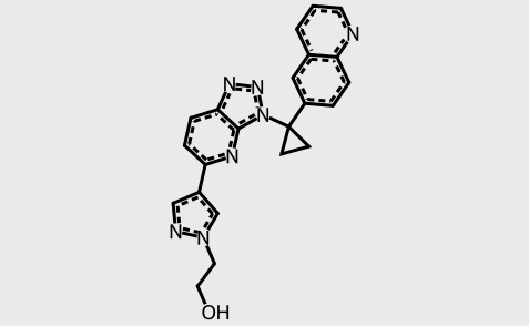 OCCn1cc(-c2ccc3nnn(C4(c5ccc6ncccc6c5)CC4)c3n2)cn1